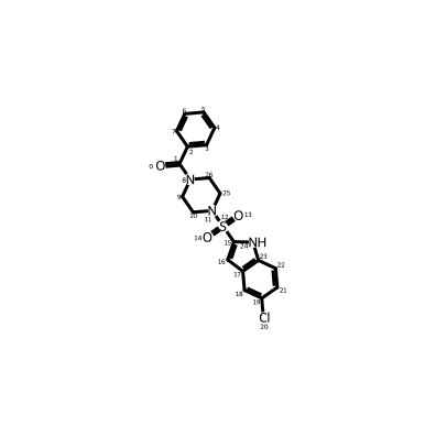 O=C(c1ccccc1)N1CCN(S(=O)(=O)c2cc3cc(Cl)ccc3[nH]2)CC1